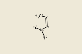 C/C=C\N(CC)CC